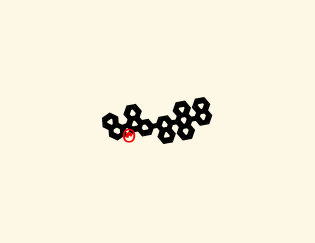 c1ccc2c(-c3c4ccccc4c(-c4ccc(-c5ccc6c(c5)c5ccccc5c5c6oc6ccc7ccccc7c65)c5ccccc45)c4ccccc34)cccc2c1